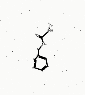 CC(C)NC(=O)OCc1ccccc1